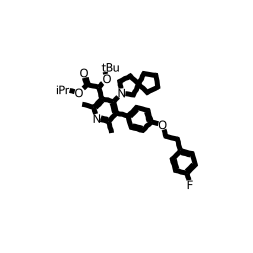 Cc1nc(C)c(C(OC(C)(C)C)C(=O)OC(C)C)c(N2CCC3(CCCC3)C2)c1-c1ccc(OCCc2ccc(F)cc2)cc1